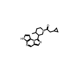 CC1CCN(C(=O)CC2CC2)CC1c1ncc2cnc3[nH]ccc3n12